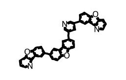 c1cnc2c(c1)oc1ccc(-c3cncc(-c4ccc5oc6ccc(-c7ccc8oc9cccnc9c8c7)cc6c5c4)c3)cc12